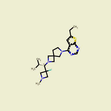 CCc1cc2c(N3CCC4(C3)CN([C@@H](C(C)C)C3(F)CN(C)C3)C4)ncnc2s1